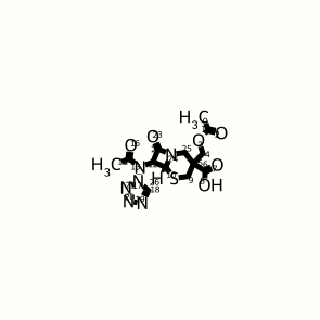 CC(=O)OCC1(C(=O)O)CS[C@@H]2C(N(C(C)=O)n3cnnn3)C(=O)N2C1